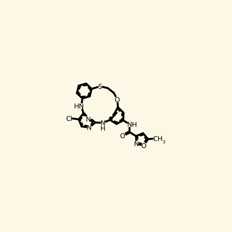 Cc1cc(C(=O)Nc2cc3cc(c2)OCCSc2cccc(c2)Nc2nc(ncc2Cl)N3)no1